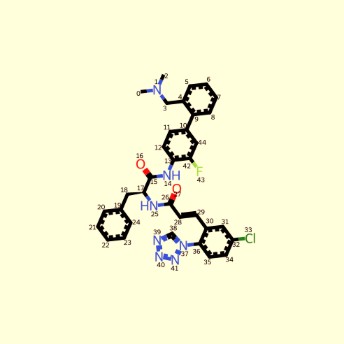 CN(C)Cc1ccccc1-c1ccc(NC(=O)[C@H](Cc2ccccc2)NC(=O)C=Cc2cc(Cl)ccc2-n2cnnn2)c(F)c1